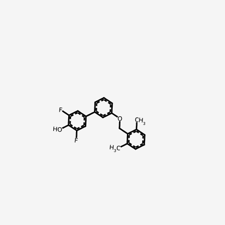 Cc1cccc(C)c1COc1cccc(-c2cc(F)c(O)c(F)c2)c1